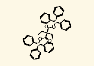 CCC(CC)(C(=O)OS(c1ccccc1)(c1ccccc1)c1ccccc1)C(=O)OS(c1ccccc1)(c1ccccc1)c1ccccc1